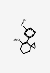 COC1=C(c2cccc(OC(C)C)c2)[C@]2(CCC1)CO2